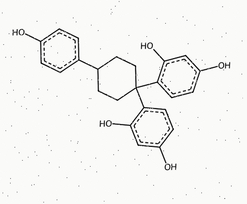 Oc1ccc(C2CCC(c3ccc(O)cc3O)(c3ccc(O)cc3O)CC2)cc1